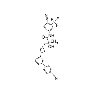 CC(O)(CN1CC(c2cccc(-c3ccc(C#N)cc3)c2)C1)C(=O)Nc1ccc(C#N)c(C(F)(F)F)c1